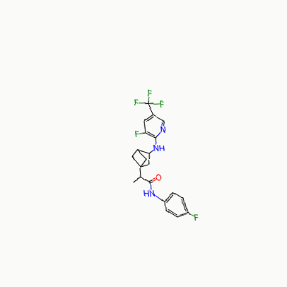 CC(C(=O)Nc1ccc(F)cc1)C12CC(C1)C(Nc1ncc(C(F)(F)F)cc1F)C2